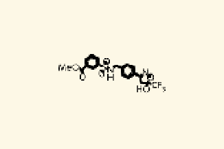 COC(=O)c1cccc(S(=O)(=O)NCc2ccc(C3=NOC(O)(C(F)(F)F)C3)cc2)c1